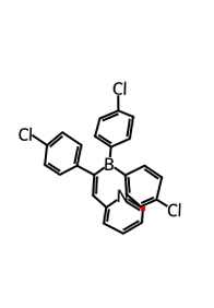 Clc1ccc(B(/C(=C\c2ccccn2)c2ccc(Cl)cc2)c2ccc(Cl)cc2)cc1